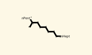 [CH2]CCCCCCCCCCCCC(C)CCCCC